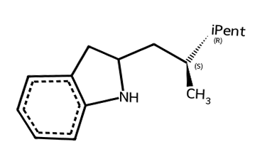 CCC[C@@H](C)[C@@H](C)CC1Cc2ccccc2N1